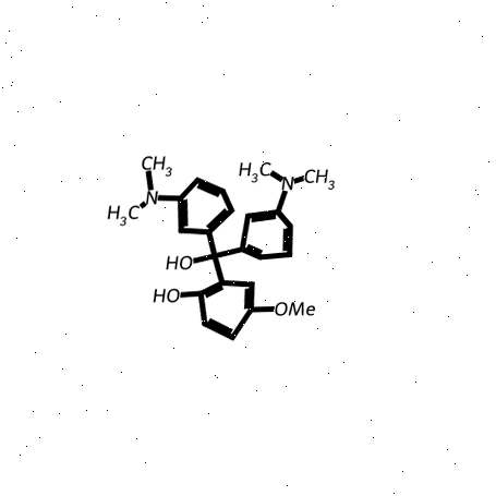 COc1ccc(O)c(C(O)(c2cccc(N(C)C)c2)c2cccc(N(C)C)c2)c1